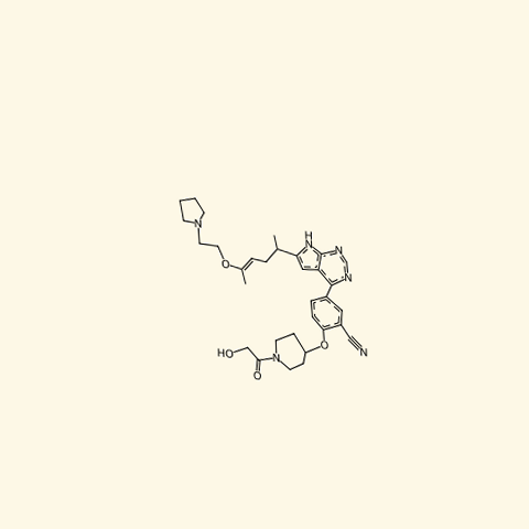 C/C(=C\CC(C)c1cc2c(-c3ccc(OC4CCN(C(=O)CO)CC4)c(C#N)c3)ncnc2[nH]1)OCCN1CCCC1